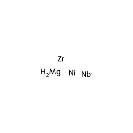 [MgH2].[Nb].[Ni].[Zr]